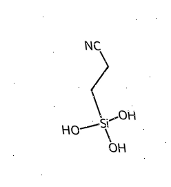 N#CCC[Si](O)(O)O